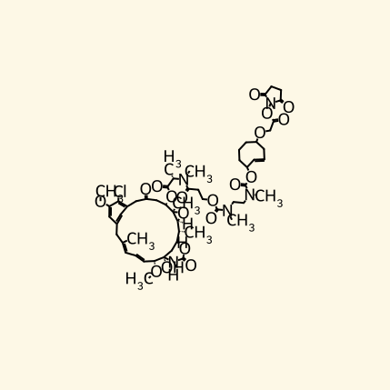 COc1cc2cc(c1Cl)CC(=O)C[C@H](OC(=O)[C@H](C)N(C)C(=O)CCOC(=O)N(C)CCN(C)C(=O)OC1/C=C/CC(OCC(=O)ON3C(=O)CCC3=O)CCC1)[C@]1(C)O[C@H]1[C@H](C)[C@@H]1C[C@@](O)(NC(=O)O1)[C@H](OC)/C=C/C=C(\C)C2